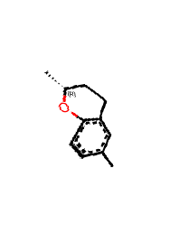 Cc1ccc2c(c1)CC[C@@H](C)O2